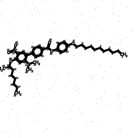 CCCCCCCCCCCOc1ccc(OC(=O)c2ccc(-c3cc([N+](=O)[O-])c(O[C@H](C)CCCCCC)cc3N(C)C)cc2)cc1